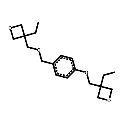 CCC1(COCc2ccc(OCC3(CC)COC3)cc2)COC1